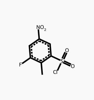 Cc1c(F)cc([N+](=O)[O-])cc1S(=O)(=O)Cl